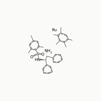 Cc1cc(C)c(C)c(C)c1C.Cc1cc(C)c(S(=O)(=O)N[C@H](c2ccccc2)[C@H](N)c2ccccc2)c(C)c1.[Ru]